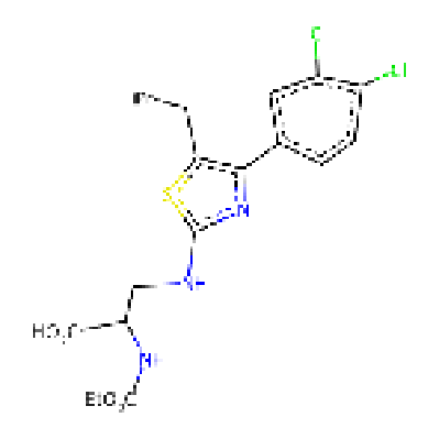 CCOC(=O)NC(CNc1nc(-c2ccc(Cl)c(Cl)c2)c(CC(C)C)s1)C(=O)O